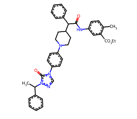 CCOC(=O)c1cc(NC(=O)C(c2ccccc2)C2CCN(c3ccc(-n4cnn(C(C)c5ccccc5)c4=O)cc3)CC2)ccc1C